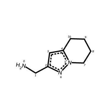 NCc1cc2n(n1)CCCC2